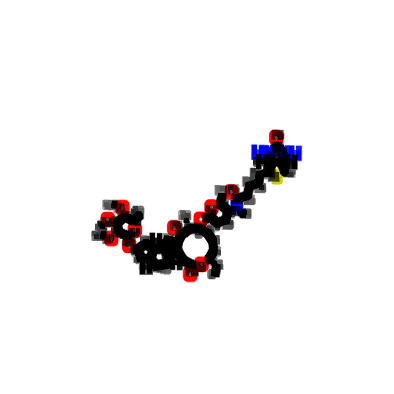 CC[C@H]1CCC[C@H](O[C@H]2CC[C@H](N(C)C(=O)CCCC[C@@H]3SC[C@@H]4NC(=O)N[C@@H]43)C(C)O2)[C@@H](C)C(=O)C2=C[C@@H]3[C@@H](C=C[C@@H]4C[C@@H](OC5OC(C)C(OC)C(OC)C5OC)C[C@@H]34)[C@@H]2CC(=O)O1